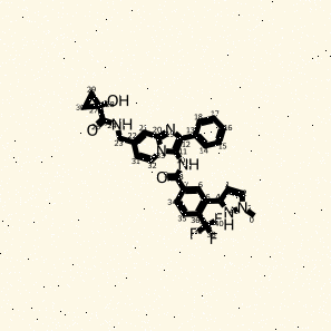 CN1C=CC(c2cc(C(=O)Nc3c(-c4ccccc4)nc4cc(CNC(=O)C5(O)CC5)ccn34)ccc2C(F)(F)F)N1